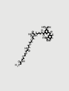 CCC(=O)NCCOCCOCC(=O)NCCOCCOCC(=O)N[C@@H](CCCCNC(=O)c1cc(B(O)O)cc(C(=O)c2cc(B(O)O)c(F)cc2F)c1)C(=O)O